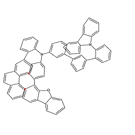 c1cc(-c2cccc(N(c3ccc(-c4cccc5c4oc4ccccc45)cc3)c3ccccc3-c3ccc4c(ccc5ccccc54)c3)c2)cc(-c2ccccc2-n2c3ccccc3c3ccccc32)c1